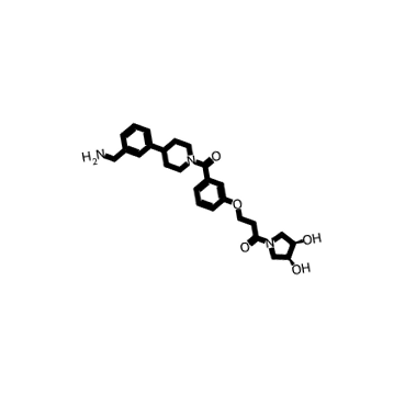 NCc1cccc(C2CCN(C(=O)c3cccc(OCCC(=O)N4C[C@@H](O)[C@@H](O)C4)c3)CC2)c1